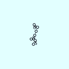 c1ccc2c(c1)oc1c(-c3ccc(-c4ccc(-n5c6ccccc6c6c7c(ccc65)sc5ccccc57)cc4)cc3)cccc12